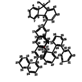 CC1(C)c2ccccc2-c2c(-c3cccc(N(c4ccc(-c5cccc6ccccc56)cc4)c4cccc(-c5ccccc5)c4-c4ccccc4-c4ccccc4)c3)cccc21